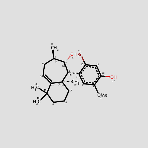 COc1cc([C@H]2[C@@H](O)[C@H](C)CC=C3C(C)(C)CCC[C@@]32C)c(Br)cc1O